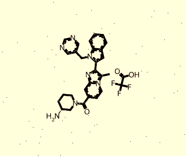 Cc1c(-c2cc3ccccc3n2Cc2cncnc2)nc2cc(C(=O)N3CCC[C@@H](N)C3)ccn12.O=C(O)C(F)(F)F